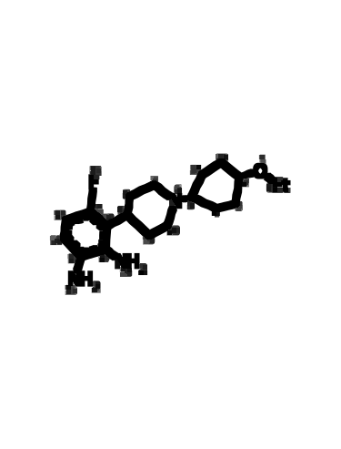 CCO[C@H]1CC[C@H](N2CCC(c3c(F)ccc(N)c3N)CC2)CC1